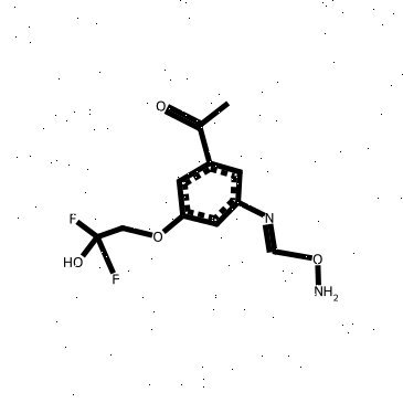 CC(=O)c1cc(N=CON)cc(OCC(O)(F)F)c1